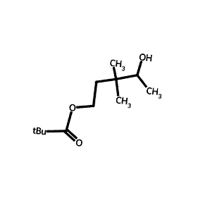 CC(O)C(C)(C)CCOC(=O)C(C)(C)C